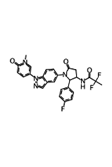 Cn1cc(-n2ncc3cc(N4C(=O)CC(NC(=O)C(C)(F)F)C4c4ccc(F)cc4)ccc32)ccc1=O